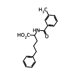 Cc1cccc(C(=O)NC(CCCc2ccccc2)C(=O)O)c1